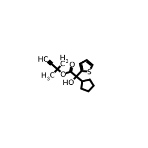 C#CC(C)(C)OC(=O)C(O)(c1cccs1)C1CCCC1